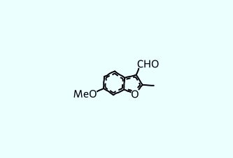 COc1ccc2c(C=O)c(C)oc2c1